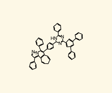 C1=Cc2c(-c3ccc(C4N=C(c5cc(-c6ccccc6)cc(-c6ccccc6)c5)N=C(c5ccccc5)N4)cc3)c(-c3ccccc3)n3ncc(-c4ccccc4)c3c2C=CC1